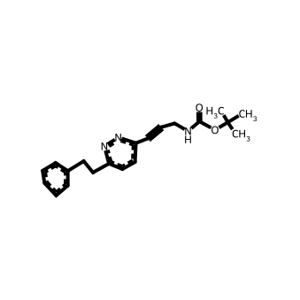 CC(C)(C)OC(=O)NCC#Cc1ccc(CCc2ccccc2)nn1